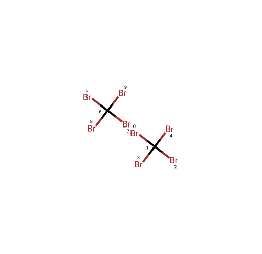 BrC(Br)(Br)Br.BrC(Br)(Br)Br